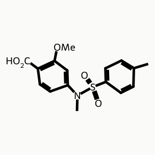 COc1cc(N(C)S(=O)(=O)c2ccc(C)cc2)ccc1C(=O)O